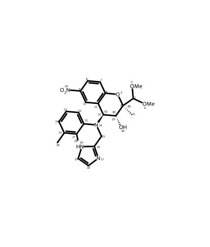 COC(OC)[C@]1(C)Oc2ccc([N+](=O)[O-])cc2[C@H](N(Cc2ncc[nH]2)c2cccc(C)c2C)[C@H]1O